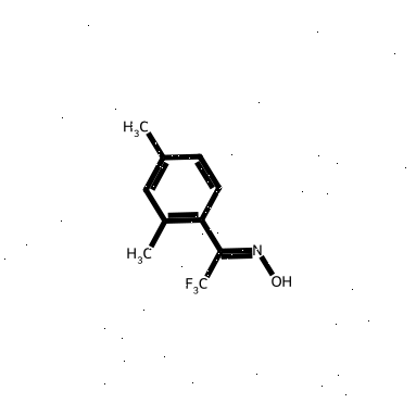 Cc1ccc(C(=NO)C(F)(F)F)c(C)c1